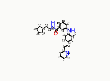 Cc1cc(/C=C/c2ccccn2)ccc1Nc1cccc(C(=O)NCCC2CCCC2)c1